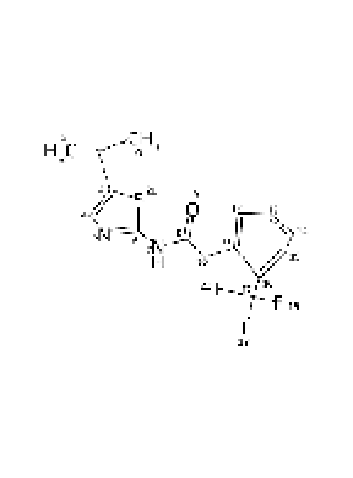 CC(C)c1cnc(NC(=O)Cc2ccccc2C(F)(F)F)s1